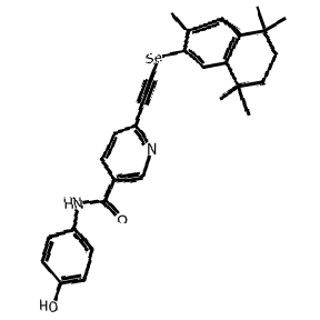 Cc1cc2c(cc1[Se]C#Cc1ccc(C(=O)Nc3ccc(O)cc3)cn1)C(C)(C)CCC2(C)C